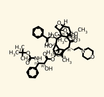 CO[C@H]1C[C@H]2OC[C@@]2(OC(C)=O)[C@@]2(C)[C@H](OC(=O)c3ccccc3)[C@]3(O)C[C@H](OC(=O)[C@H](O)[C@@H](NC(=O)OC(C)(C)C)c4ccccc4)C(C)=C([C@@H](CCN4CCOCC4)C(=O)[C@]12C)C3(C)C